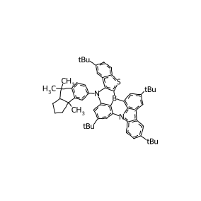 CC(C)(C)c1cc2c3c(c1)-n1c4ccc(C(C)(C)C)cc4c4cc(C(C)(C)C)cc(c41)B3c1sc3ccc(C(C)(C)C)cc3c1N2c1ccc2c(c1)C1(C)CCCC1C2(C)C